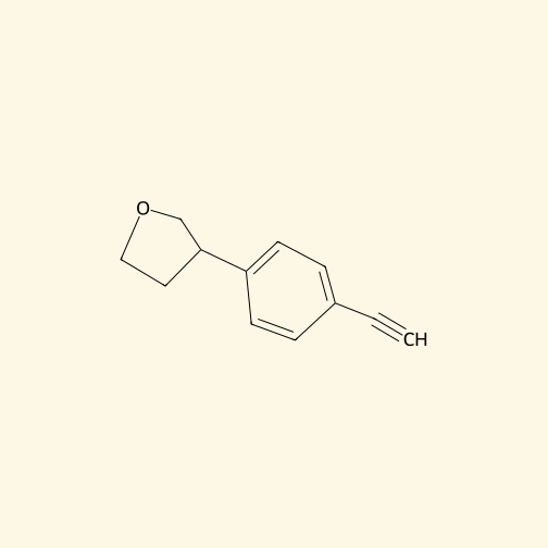 C#Cc1ccc(C2CCOC2)cc1